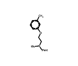 CCCC(C)N(CCOc1cccc(C)c1)C(C)(C)C